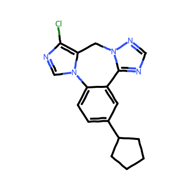 Clc1ncn2c1Cn1ncnc1-c1cc(C3CCCC3)ccc1-2